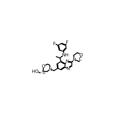 CC(Nc1cc(F)cc(F)c1)c1cc(CN2CCO[C@@H](CO)C2)cc2ncc(N3CCOCC3)nc12